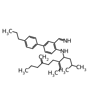 C=C(CCC)CC/C(=C\C)C(CC(C)C)Nc1ccc(-c2ccc(CCC)cc2)cc1C=N